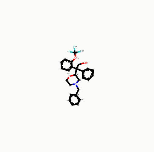 OCC(c1ccccc1)(c1ccccc1OC(F)(F)F)C1CN(Cc2ccccc2)CCO1